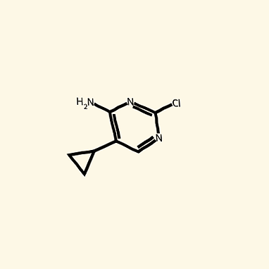 Nc1nc(Cl)ncc1C1CC1